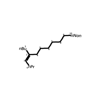 CCCC=C(CCCC)CCCCCCCCCCCCCCC